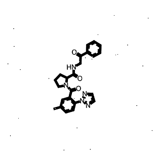 Cc1ccc(-n2nccn2)c(C(=O)N2CCCC2C(=O)NCC(=O)c2ccccc2)c1